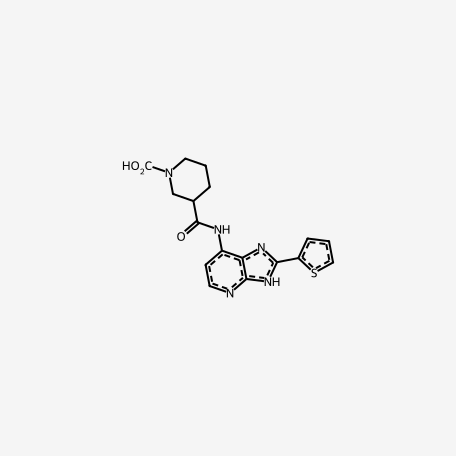 O=C(Nc1ccnc2[nH]c(-c3cccs3)nc12)C1CCCN(C(=O)O)C1